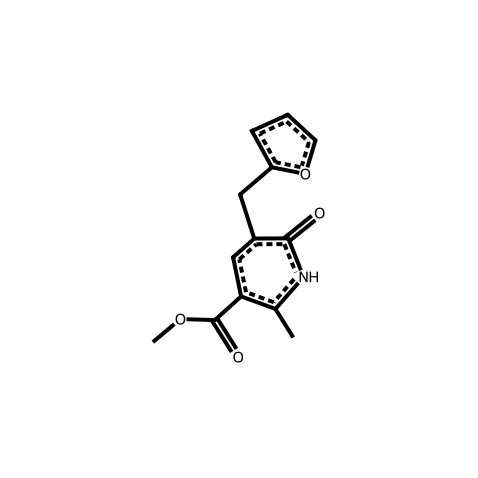 COC(=O)c1cc(Cc2ccco2)c(=O)[nH]c1C